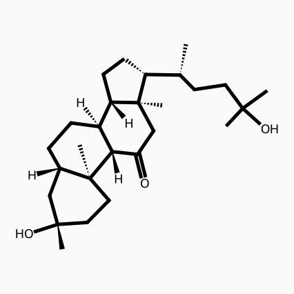 C[C@H](CCC(C)(C)O)[C@H]1CC[C@H]2[C@@H]3CC[C@H]4C[C@@](C)(O)CC[C@]4(C)[C@H]3C(=O)C[C@]12C